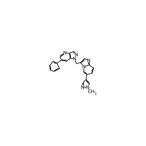 Cn1cc(-c2ccc3ncc(Cn4ncc5ncc(-c6ccccc6)cc54)n3c2)cn1